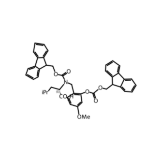 COc1ccc(CN(C(=O)OCC2c3ccccc3-c3ccccc32)[C@@H](CC(C)C)C(=O)O)c(OC(=O)OCC2c3ccccc3-c3ccccc32)c1